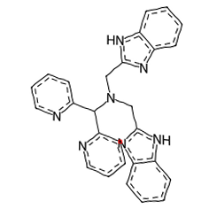 c1ccc(C(c2ccccn2)N(Cc2nc3ccccc3[nH]2)Cc2nc3ccccc3[nH]2)nc1